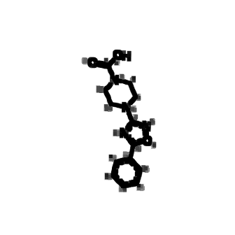 O=C(O)N1CCN(c2noc(-c3ccccc3)n2)CC1